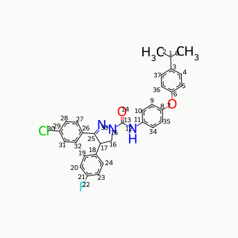 CC(C)c1ccc(Oc2ccc(NC(=O)N3CC(c4ccc(F)cc4)C(c4ccc(Cl)cc4)=N3)cc2)cc1